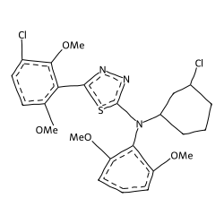 COc1ccc(Cl)c(OC)c1-c1nnc(N(c2c(OC)cccc2OC)C2CCCC(Cl)C2)s1